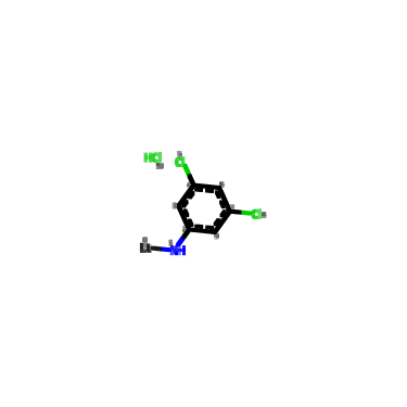 CCNc1cc(Cl)cc(Cl)c1.Cl